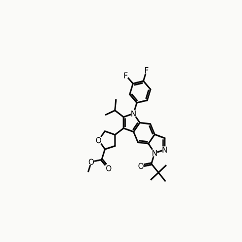 COC(=O)C1CC(c2c(C(C)C)n(-c3ccc(F)c(F)c3)c3cc4cnn(C(=O)C(C)(C)C)c4cc23)CO1